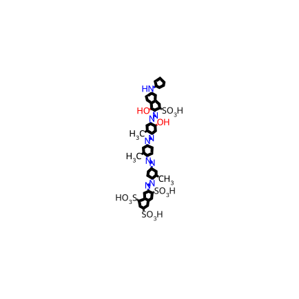 Cc1cc(N=Nc2cc(O)c(N=Nc3c(S(=O)(=O)O)cc4cc(Nc5ccccc5)ccc4c3O)cc2C)ccc1N=Nc1ccc(N=Nc2cc3c(S(=O)(=O)O)cc(S(=O)(=O)O)cc3cc2S(=O)(=O)O)c(C)c1